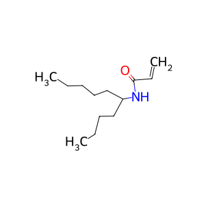 C=CC(=O)NC(CCCC)CCCCC